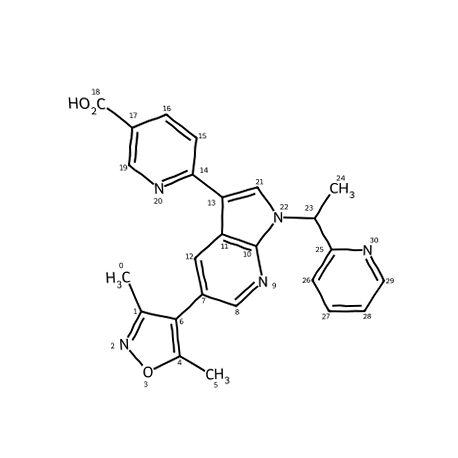 Cc1noc(C)c1-c1cnc2c(c1)c(-c1ccc(C(=O)O)cn1)cn2C(C)c1ccccn1